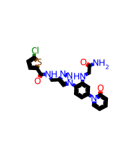 NC(=O)CNc1cc(-n2ccccc2=O)ccc1-n1cc(CNC(=O)c2ccc(Cl)s2)nn1